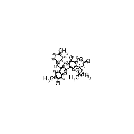 CCC1(OC(C)C)CC(=O)OCc2c1cc1n(c2=O)Cc2c-1nc1cc(Cl)c(C)cc1c2CN1CCC(C)CC1